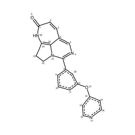 O=C1C=CC2=CN=C(c3cccc(Oc4ccncc4)c3)N3CCC(=C23)N1